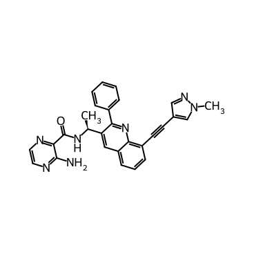 C[C@H](NC(=O)c1nccnc1N)c1cc2cccc(C#Cc3cnn(C)c3)c2nc1-c1ccccc1